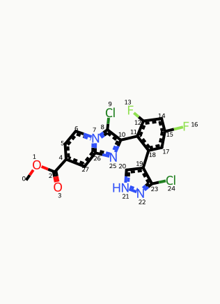 COC(=O)c1ccn2c(Cl)c(-c3c(F)cc(F)cc3-c3c[nH]nc3Cl)nc2c1